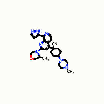 C[C@@H]1COCCN1c1cc(C2(C#N)CCC(N3CCN(C)CC3)CC2)c2ccnc(-c3ccn[nH]3)c2n1